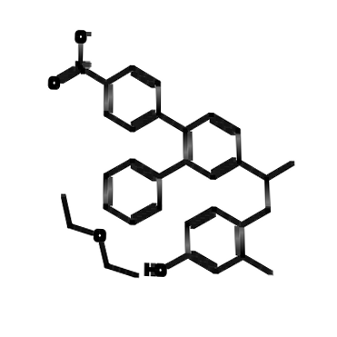 CCOCC.Cc1cc(O)ccc1CC(C)c1ccc(-c2ccc([N+](=O)[O-])cc2)c(-c2ccccc2)c1